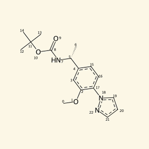 COc1cc([C@@H](C)NC(=O)OC(C)(C)C)ccc1-n1cccn1